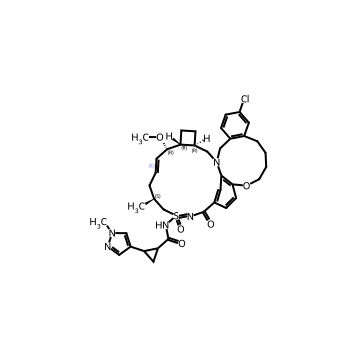 CO[C@H]1/C=C/C[C@H](C)CS(=O)(NC(=O)C2CC2c2cnn(C)c2)=NC(=O)c2ccc3c(c2)N(Cc2ccc(Cl)cc2CCCCO3)C[C@@H]2CC[C@H]21